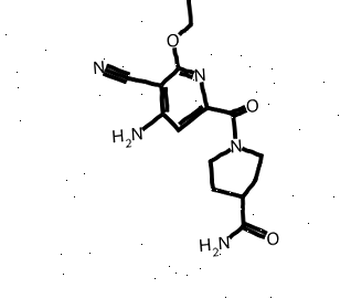 CCOc1nc(C(=O)N2CCC(C(N)=O)CC2)cc(N)c1C#N